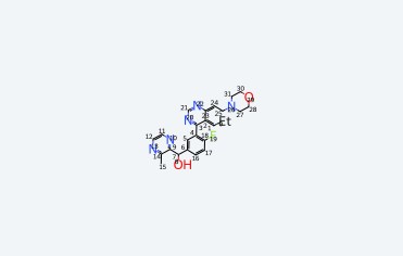 CC/C=c1/c(-c2cc(C(O)c3nccnc3C)ccc2F)ncn/c1=C/CN1CCOCC1